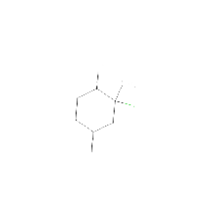 CC1CCC(C(C)C)C(Cl)(C(=O)O)C1